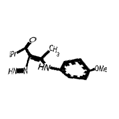 COc1ccc(N/C(C)=C(\N=N)C(=O)C(C)C)cc1